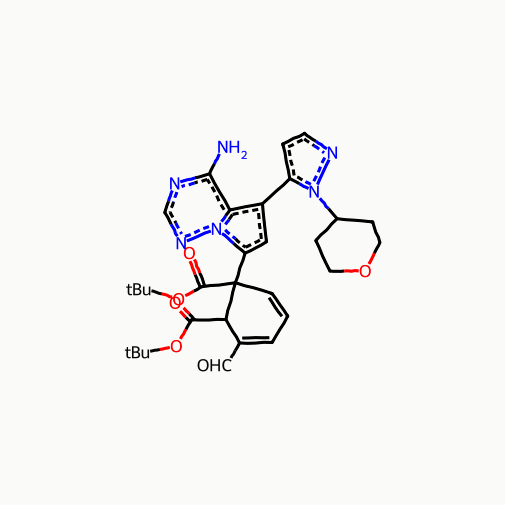 CC(C)(C)OC(=O)C1C(C=O)=CC=CC1(C(=O)OC(C)(C)C)c1cc(-c2ccnn2C2CCOCC2)c2c(N)ncnn12